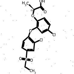 CCS(=O)(=O)c1ccc(Oc2cc(Cl)ccc2O[C@@H](C)C(=O)O)c(Cl)c1